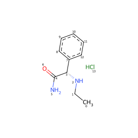 CCN[C@H](C(N)=O)c1ccccc1.Cl